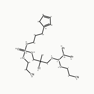 CCC(C)(COP(OCCC#N)N(C(C)C)C(C)C)COP(=O)(OCCC#N)OCCCC1=CC=CC1